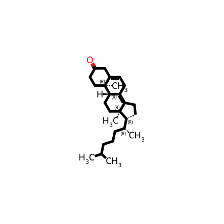 CC(C)CCC[C@@H](C)[C@H]1CCC2=C3CC=C4CC(=O)CC[C@]4(C)[C@H]3CC[C@@]21C